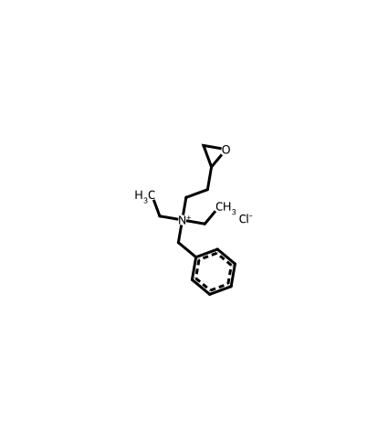 CC[N+](CC)(CCC1CO1)Cc1ccccc1.[Cl-]